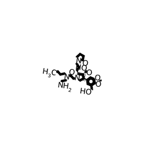 CCCCN(CCN)C(=O)CN1C[C@H](c2cc(CO)c3c(c2)OCO3)[C@@H](C(=O)O)[C@@H]1CCCN1CCCC1=O